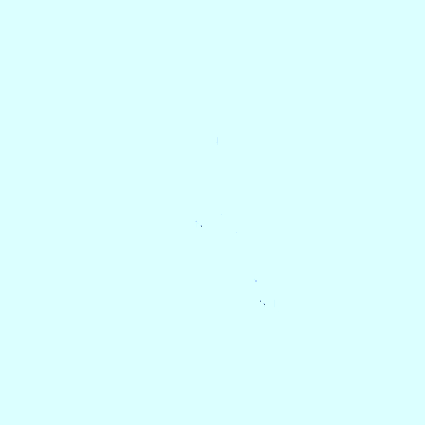 COCc1c[c]c2c3c(C(N)=O)cccc3n(Cc3cc(F)c(F)cc3F)c2c1